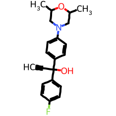 C#CC(O)(c1ccc(F)cc1)c1ccc(N2CC(C)OC(C)C2)cc1